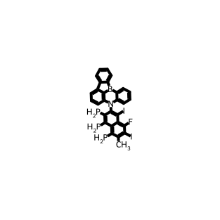 Cc1c(I)c(F)c2c(I)c(N3c4ccccc4B4c5ccccc5-c5cccc3c54)c(P)c(P)c2c1P